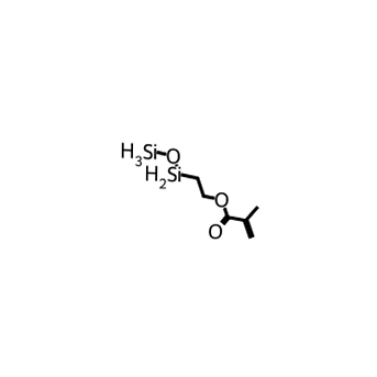 C=C(C)C(=O)OCC[SiH2]O[SiH3]